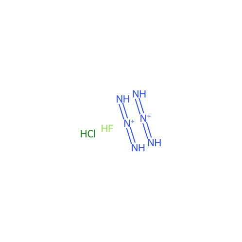 Cl.F.N=[N+]=N.N=[N+]=N